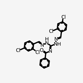 O=C(N=C(N/N=C/c1ccc(Cl)cc1Cl)N/N=C/c1ccc(Cl)cc1Cl)c1ccccc1